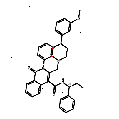 CC[C@H](NC(=O)c1c(CN2CCN(c3cccc(OC)c3)CC2)n(-c2ccccc2)c(=O)c2ccccc12)c1ccccc1